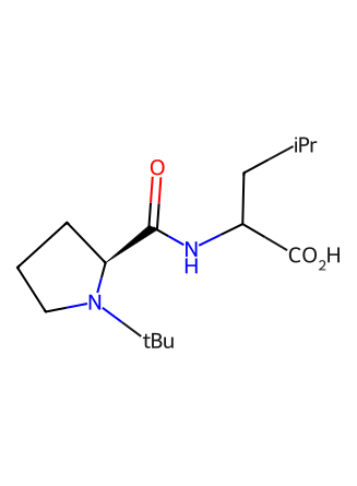 CC(C)CC(NC(=O)[C@@H]1CCCN1C(C)(C)C)C(=O)O